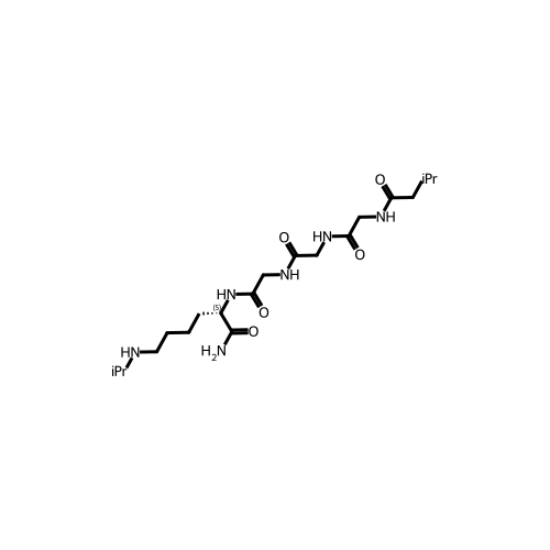 CC(C)CC(=O)NCC(=O)NCC(=O)NCC(=O)N[C@@H](CCCCNC(C)C)C(N)=O